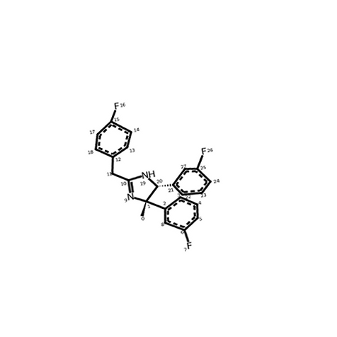 C[C@@]1(c2cccc(F)c2)N=C(Cc2ccc(F)cc2)N[C@@H]1c1cccc(F)c1